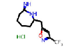 Cl.N=C1CCCCC(Cc2cc(C(F)(F)F)no2)N1